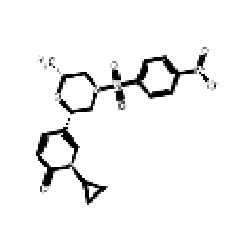 C[C@@H]1CN(S(=O)(=O)c2ccc([N+](=O)[O-])cc2)C[C@H](c2ccc(=O)n(C3CC3)c2)O1